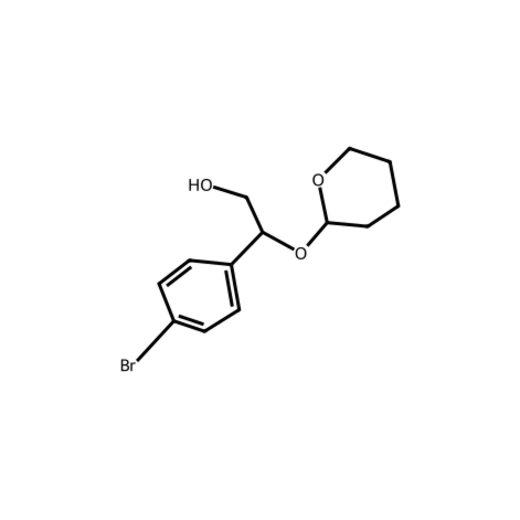 OCC(OC1CCCCO1)c1ccc(Br)cc1